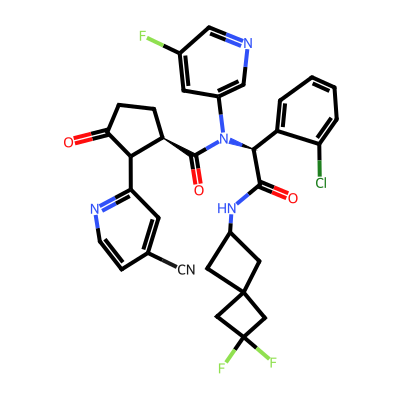 N#Cc1ccnc(C2C(=O)CC[C@H]2C(=O)N(c2cncc(F)c2)[C@H](C(=O)NC2CC3(C2)CC(F)(F)C3)c2ccccc2Cl)c1